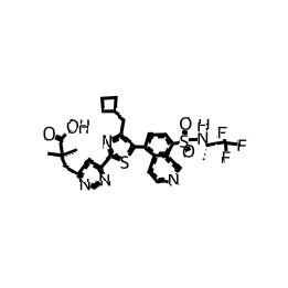 C[C@H](NS(=O)(=O)c1ccc(-c2sc(-c3cc(CC(C)(C)C(=O)O)ncn3)nc2CC2CCC2)c2ccncc12)C(F)(F)F